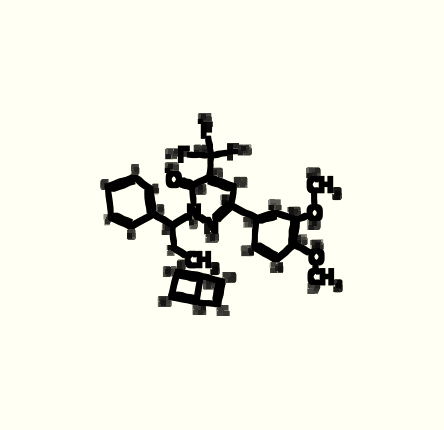 CCC(c1ccccc1)n1nc(-c2ccc(OC)c(OC)c2)cc(C(F)(F)F)c1=O.c1cc2ccc1-2